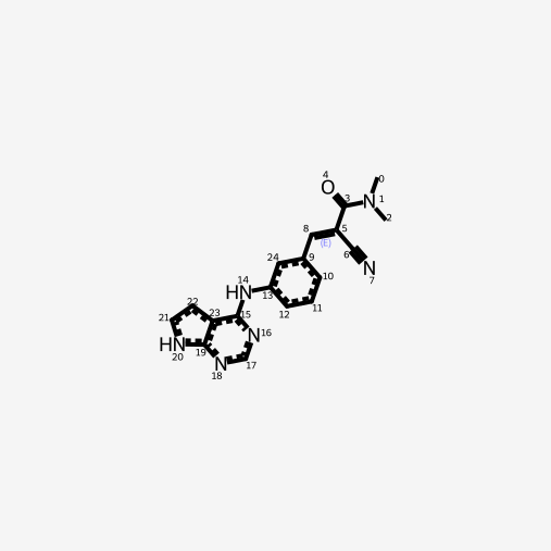 CN(C)C(=O)/C(C#N)=C/c1cccc(Nc2ncnc3[nH]ccc23)c1